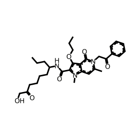 CCCOc1c(C(=O)NC(CCC)CCCCC(=O)CO)n(C)c2cc(C)n(CC(=O)c3ccccc3)c(=O)c12